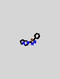 C1=CC(c2nnc(N3CCN4CCCC4C3)s2)=CCC1